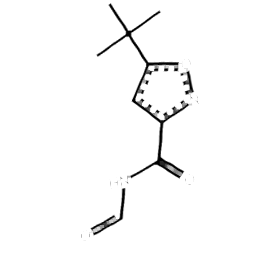 CC(C)(C)c1cc(C(=O)NC=O)no1